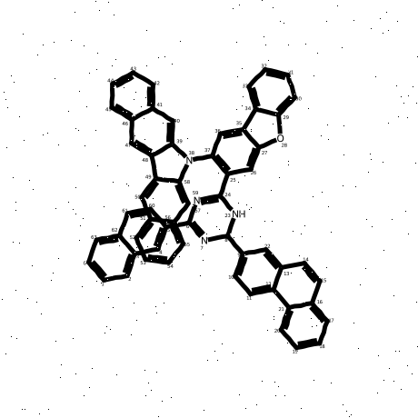 c1ccc2cc(C3=NC(c4ccc5c(ccc6ccccc65)c4)NC(c4cc5oc6ccccc6c5cc4-n4c5cc6ccccc6cc5c5cc6ccccc6cc54)=N3)ccc2c1